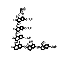 O=C1C=Cc2cc(S(=O)(=O)O)ccc2C1=NO.O=C1C=Cc2cc(S(=O)(=O)O)ccc2C1=NO.O=C1C=Cc2cc(S(=O)(=O)O)ccc2C1=NO.O=C1C=Cc2cc(S(=O)(=O)O)ccc2C1=NO.O=C1C=Cc2cc(S(=O)(=O)O)ccc2C1=NO.O=C1C=Cc2cc(S(=O)(=O)O)ccc2C1=NO.[Ba+2].[Ba+2].[Ba+2].[Fe].[Fe]